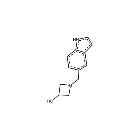 OC1CN(Cc2ccc3[nH]ccc3c2)C1